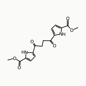 COC(=O)c1ccc(C(=O)CCC(=O)c2ccc(C(=O)OC)[nH]2)[nH]1